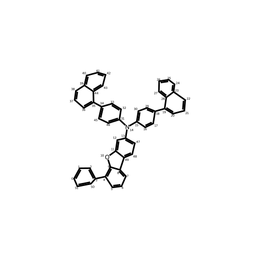 c1ccc(-c2cccc3c2oc2cc(N(c4ccc(-c5cccc6ccccc56)cc4)c4ccc(-c5cccc6ccccc56)cc4)ccc23)cc1